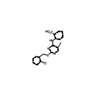 O=C(O)c1ccccc1Nc1nc(SCc2ccccc2Cl)ncc1F